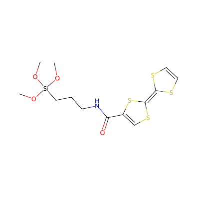 CO[Si](CCCNC(=O)C1=CSC(=C2SC=CS2)S1)(OC)OC